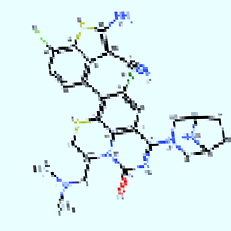 CN(C)C[C@H]1CSc2c(-c3ccc(F)c4sc(N)c(C#N)c34)c(Cl)cc3c(N4CC5CCC(C4)N5)nc(=O)n1c23